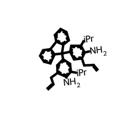 C=CCc1cc(C2(c3cc(CC=C)c(N)c(C(C)C)c3)c3ccccc3-c3ccccc32)cc(C(C)C)c1N